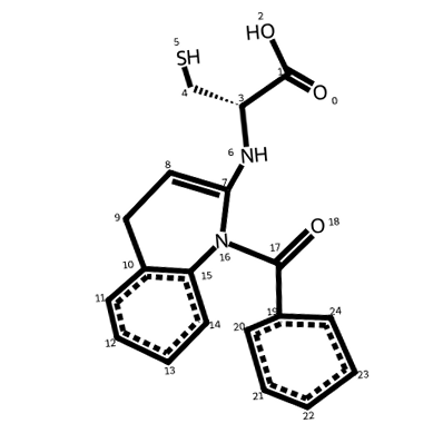 O=C(O)[C@@H](CS)NC1=CCc2ccccc2N1C(=O)c1ccccc1